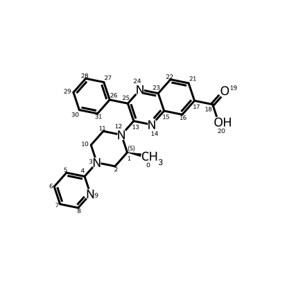 C[C@H]1CN(c2ccccn2)CCN1c1nc2cc(C(=O)O)ccc2nc1-c1ccccc1